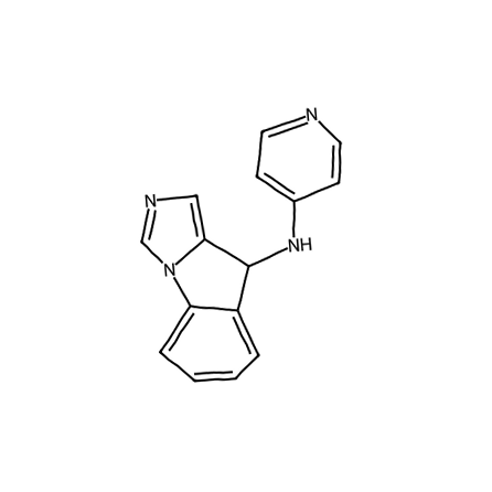 c1ccc2c(c1)C(Nc1ccncc1)c1cncn1-2